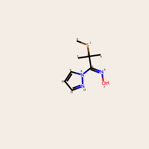 CSC(C)(C)/C(=N/O)n1cccn1